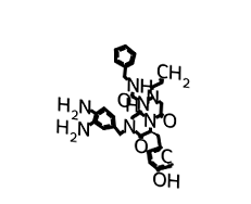 C=CCN1CC(=O)N2[C@@H](Cc3ccc(O)cc3)C(=O)N(Cc3ccc(N)c(N)c3)C[C@@H]2N1C(=O)NCc1ccccc1